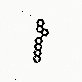 [c]1cccc2cc3cc4ccc(-c5cccc6c5ccc5ccccc56)cc4cc3cc12